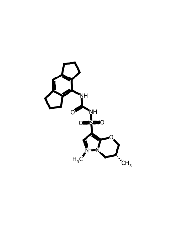 C[C@H]1COc2c(S(=O)(=O)NC(=O)Nc3c4c(cc5c3CCC5)CCC4)c[n+](C)n2C1